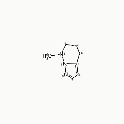 CN1CCCc2[c]cnn21